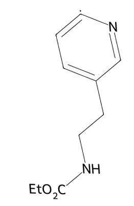 CCOC(=O)NCCc1cc[c]nc1